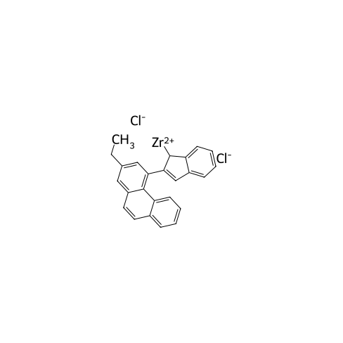 CCc1cc(C2=Cc3ccccc3[CH]2[Zr+2])c2c(ccc3ccccc32)c1.[Cl-].[Cl-]